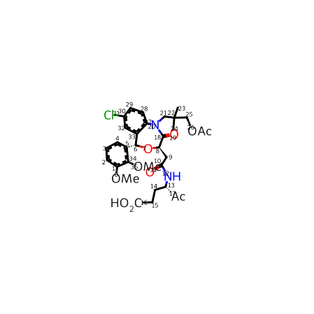 COc1cccc([C@H]2O[C@H](CC(=O)N[C@@H](CCC(=O)O)C(C)=O)C(=O)N(CC(C)(C)COC(C)=O)c3ccc(Cl)cc32)c1OC